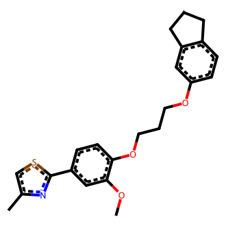 COc1cc(-c2nc(C)cs2)ccc1OCCCOc1ccc2c(c1)C[CH]C2